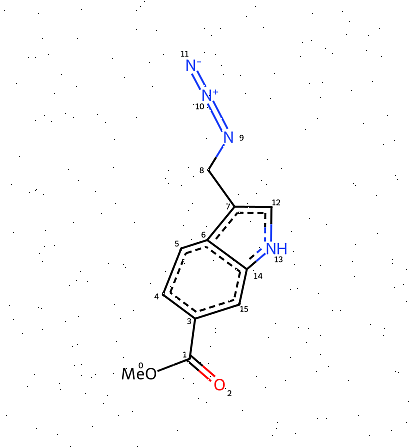 COC(=O)c1ccc2c(CN=[N+]=[N-])c[nH]c2c1